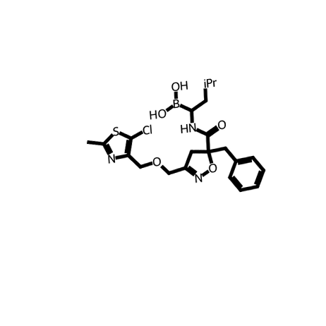 Cc1nc(COCC2=NOC(Cc3ccccc3)(C(=O)NC(CC(C)C)B(O)O)C2)c(Cl)s1